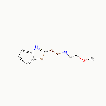 [CH2]COCCNSSc1nc2ccccc2s1